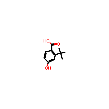 CC(C)(C)c1cc(O)ccc1C(=O)O